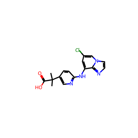 CC(C)(C(=O)O)c1ccc(Nc2cc(Cl)cn3ccnc23)nc1